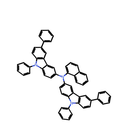 c1ccc(-c2ccc3c(c2)c2cc(N(c4ccc5c(c4)c4cc(-c6ccccc6)ccc4n5-c4ccccc4)c4cccc5ccccc45)ccc2n3-c2ccccc2)cc1